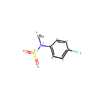 CCCCN(c1ccc(F)cc1)[SH](=O)=O